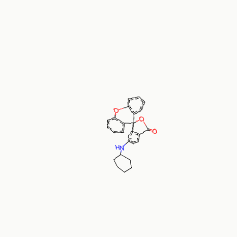 O=C1OC2(c3ccccc3Oc3ccccc32)c2cc(NC3CCCCC3)ccc21